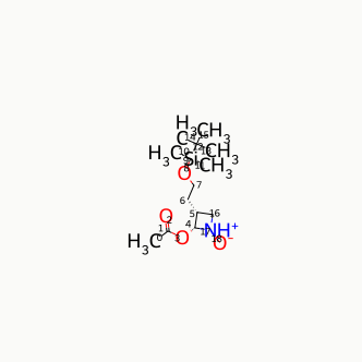 CC(=O)O[C@@H]1[C@H](CCO[Si](C)(C)C(C)(C)C)C[NH+]1[O-]